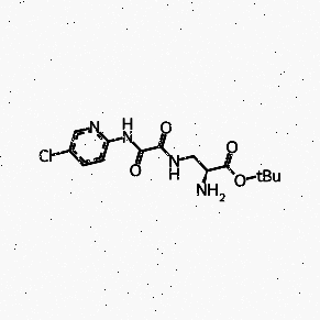 CC(C)(C)OC(=O)[C@@H](N)CNC(=O)C(=O)Nc1ccc(Cl)cn1